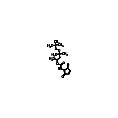 CC(CC(C)(C)OOC(C)(C)C)OC(=O)NN1C(=O)C=CC1=O